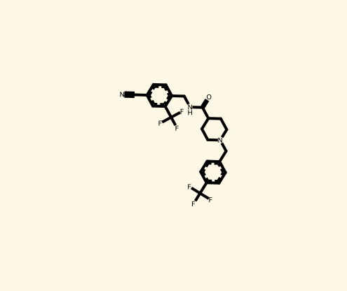 N#Cc1ccc(CNC(=O)C2CCN(Cc3ccc(C(F)(F)F)cc3)CC2)c(C(F)(F)F)c1